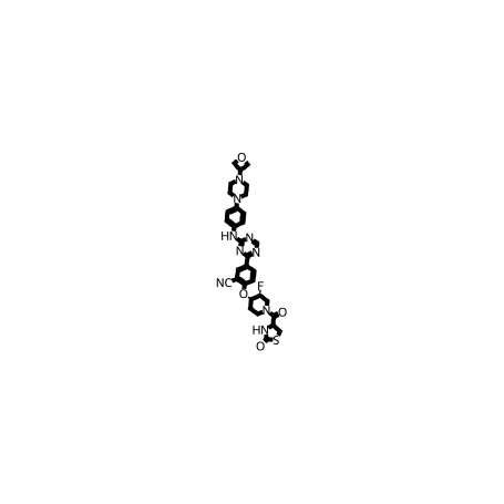 N#Cc1cc(-c2ncnc(Nc3ccc(N4CCN(C5COC5)CC4)cc3)n2)ccc1O[C@H]1CCN(C(=O)C2CSC(=O)N2)C[C@H]1F